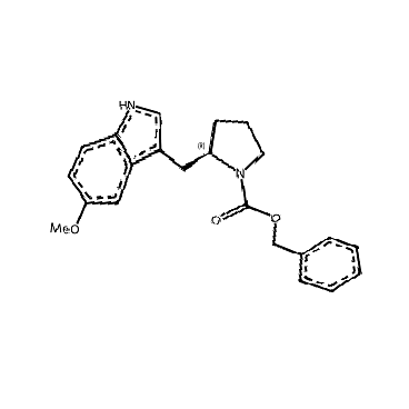 COc1ccc2[nH]cc(C[C@H]3CCCN3C(=O)OCc3ccccc3)c2c1